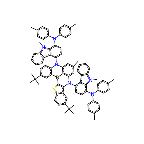 Cc1ccc(N(c2ccc(C)cc2)c2ccc(N3c4ccc(C(C)(C)C)cc4B4c5sc6ccc(C(C)(C)C)cc6c5N(c5ccc(N(c6ccc(C)cc6)c6ccc(C)cc6)c6c5c5ccccc5n6C)c5cc(C)cc3c54)c3c4ccccc4n(C)c23)cc1